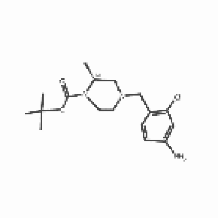 C[C@H]1CN(Cc2ccc(N)cc2Cl)CCN1C(=O)OC(C)(C)C